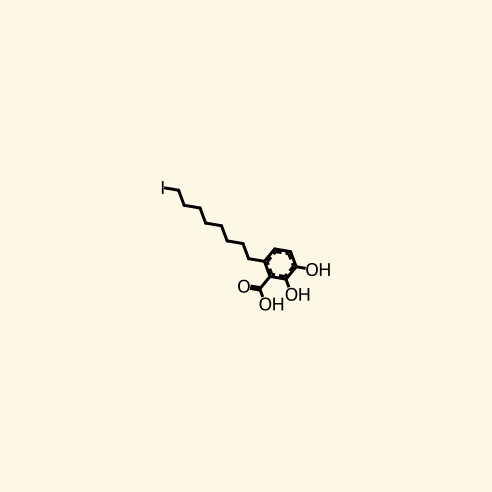 O=C(O)c1c(CCCCCCCCI)ccc(O)c1O